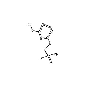 CCOc1nccc(OCP(=O)(O)O)n1